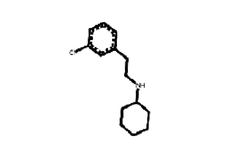 Clc1cccc([CH]CNC2CCCCC2)c1